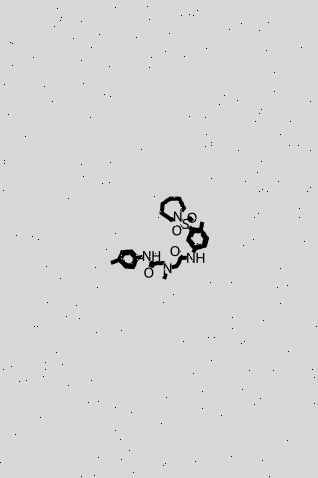 Cc1ccc(NC(=O)CN(C)CC(=O)Nc2ccc(C)c(S(=O)(=O)N3CCCCCC3)c2)cc1